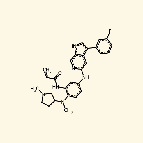 C=CC(=O)Nc1cc(Nc2cc3c(-c4cccc(F)c4)c[nH]c3cn2)ccc1N(C)C1CCN(C)C1